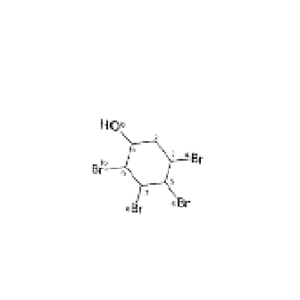 OC1CC(Br)C(Br)C(Br)C1Br